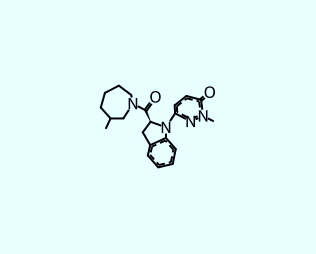 CC1CCCCN(C(=O)[C@@H]2Cc3ccccc3N2c2ccc(=O)n(C)n2)C1